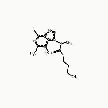 CCCCOC(=O)N(C)n1cnc2c(Cl)nc(C)c(C)c21